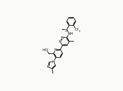 Cc1cn(-c2ccc(-c3cc(C)c(N[C@@H](C)c4ccccc4C(F)(F)F)nn3)nc2CO)cn1